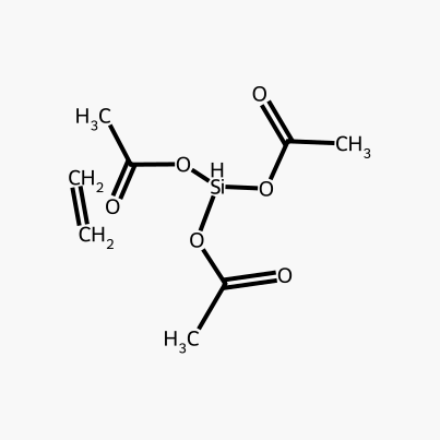 C=C.CC(=O)O[SiH](OC(C)=O)OC(C)=O